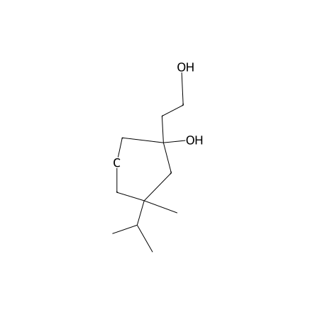 CC(C)C1(C)CCCC(O)(CCO)C1